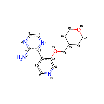 Nc1nccnc1-c1ccncc1OCC1CCOCC1